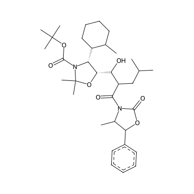 CC(C)CC(C(=O)N1C(=O)OC(c2ccccc2)C1C)C(O)[C@@H]1OC(C)(C)N(C(=O)OC(C)(C)C)[C@@H]1C1CCCCC1C